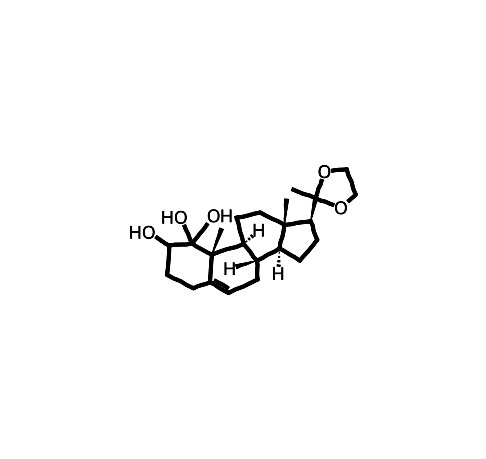 CC1([C@H]2CC[C@H]3[C@@H]4CC=C5CCC(O)C(O)(O)[C@]5(C)[C@H]4CC[C@]23C)OCCO1